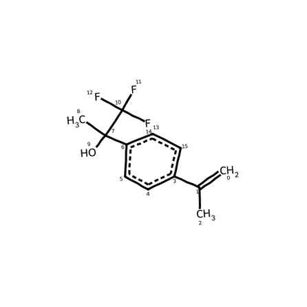 C=C(C)c1ccc(C(C)(O)C(F)(F)F)cc1